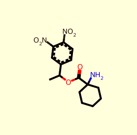 CC(OC(=O)C1(N)CCCCC1)c1ccc([N+](=O)[O-])c([N+](=O)[O-])c1